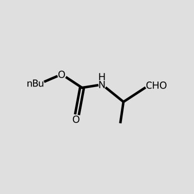 CCCCOC(=O)NC(C)C=O